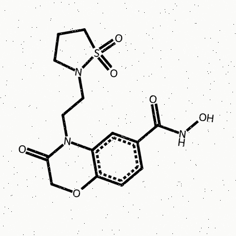 O=C(NO)c1ccc2c(c1)N(CCN1CCCS1(=O)=O)C(=O)CO2